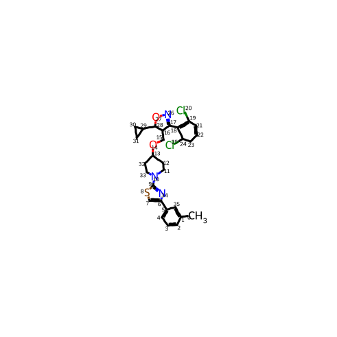 Cc1cccc(-c2csc(N3CCC(OCC4C(C5=C(Cl)C=CCC5Cl)=NOC4C4CC4)CC3)n2)c1